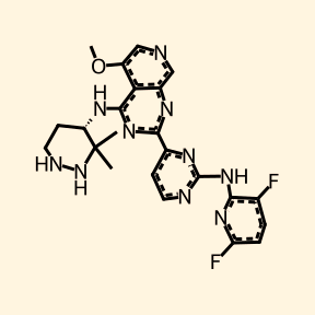 COc1cncc2nc(-c3ccnc(Nc4nc(F)ccc4F)n3)nc(N[C@H]3CCNNC3(C)C)c12